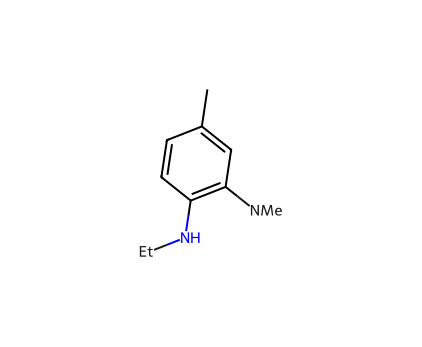 CCNc1ccc(C)cc1NC